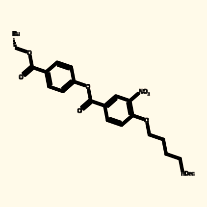 CCCCCCCCCCCCCCOc1ccc(C(=O)Oc2ccc(C(=O)OC[C@@H](C)CC)cc2)cc1[N+](=O)[O-]